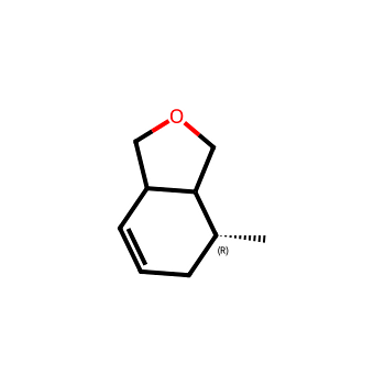 C[C@@H]1CC=CC2COCC21